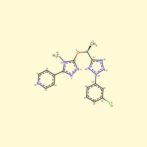 C[C@H](Oc1nnc(-c2ccncc2)n1C)c1nnn(-c2cccc(Cl)c2)n1